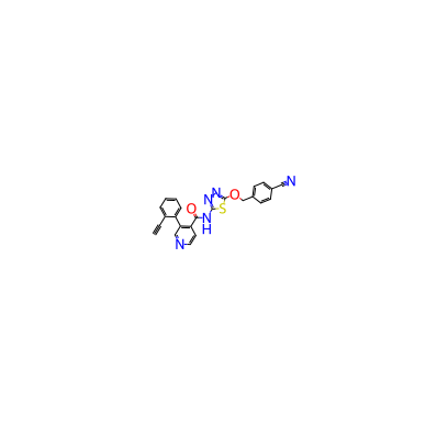 C#Cc1ccccc1-c1cnccc1C(=O)Nc1nnc(OCc2ccc(C#N)cc2)s1